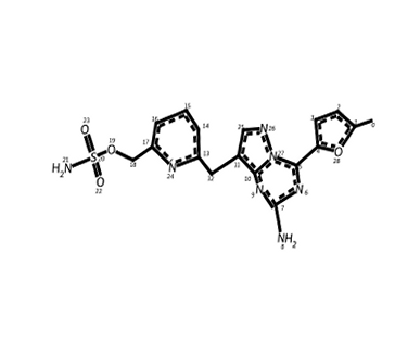 Cc1ccc(-c2nc(N)nc3c(Cc4cccc(COS(N)(=O)=O)n4)cnn23)o1